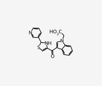 O=C(O)Cn1cc(C(=O)C2=CSC(c3cccnc3)N2)c2ccccc21